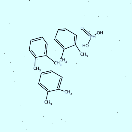 Cc1ccccc1C.Cc1ccccc1C.Cc1ccccc1C.O=[PH](O)O